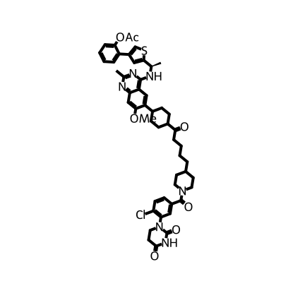 COc1cc2nc(C)nc(N[C@H](C)c3cc(-c4ccccc4OC(C)=O)cs3)c2cc1C1CCC(C(=O)CCCCC2CCN(C(=O)c3ccc(Cl)c(N4CCC(=O)NC4=O)c3)CC2)CC1